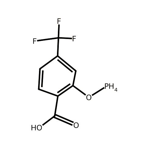 O=C(O)c1ccc(C(F)(F)F)cc1O[PH4]